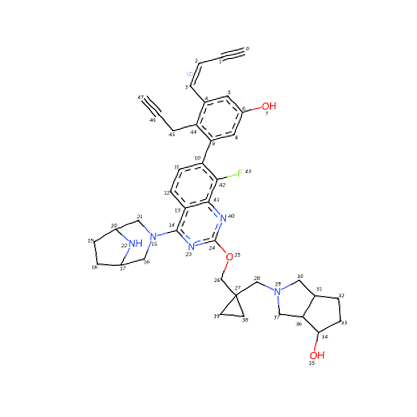 C#C/C=C\c1cc(O)cc(-c2ccc3c(N4CC5CCC(C4)N5)nc(OCC4(CN5CC6CCC(O)C6C5)CC4)nc3c2F)c1CC#C